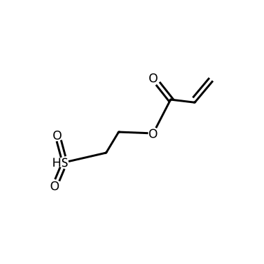 C=CC(=O)OCC[SH](=O)=O